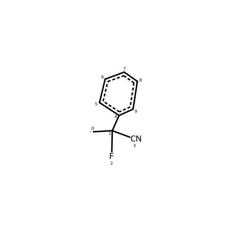 [CH2]C(F)(C#N)c1ccccc1